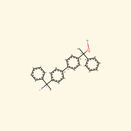 CC(I)(c1ccccc1)c1ccc(-c2ccc(C(C)(OI)c3ccccc3)cc2)cc1